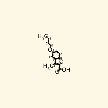 CCCCOc1ccc2oc(C(=O)O)c(C)c2c1